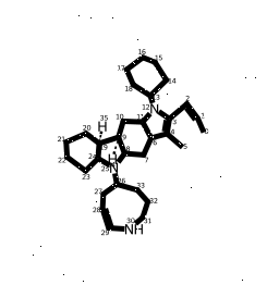 C/C=C\C1=C(C)C2CC3[C@H](CC2N1C1CCCCC1)[C@@H]1CCCCC1N3C1C/C=C\NCCC1